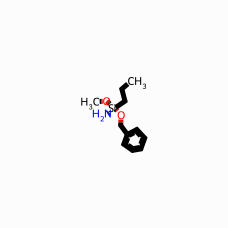 CCC[Si](N)(OC)OCc1ccccc1